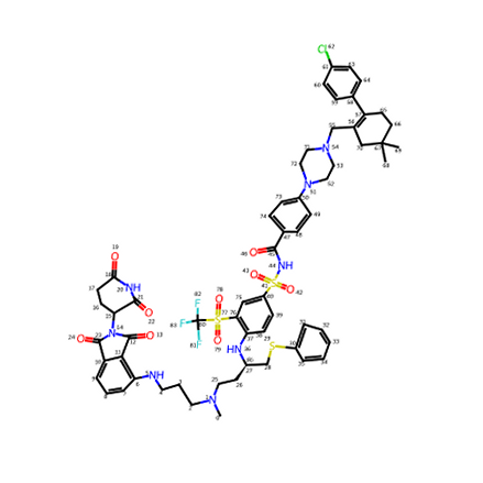 CN(CCCNc1cccc2c1C(=O)N(C1CCC(=O)NC1=O)C2=O)CC[C@H](CSc1ccccc1)Nc1ccc(S(=O)(=O)NC(=O)c2ccc(N3CCN(CC4=C(c5ccc(Cl)cc5)CCC(C)(C)C4)CC3)cc2)cc1S(=O)(=O)C(F)(F)F